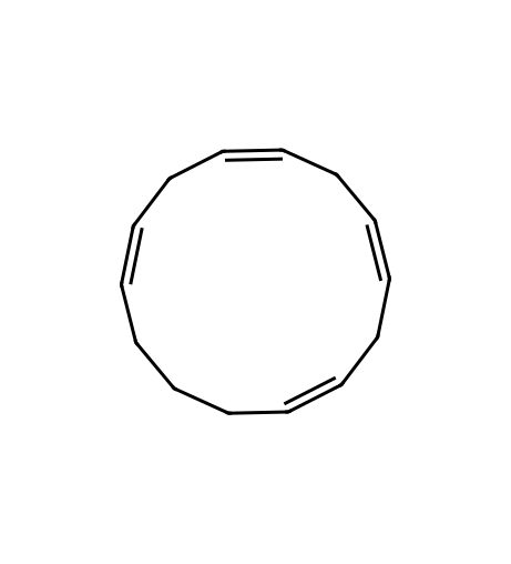 C1=CCC=CCCCC=CCC=CC1